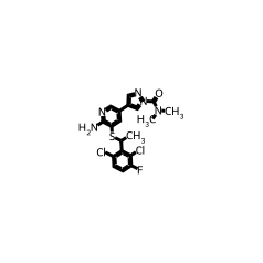 CC(Sc1cc(-c2cnn(C(=O)N(C)C)c2)cnc1N)c1c(Cl)ccc(F)c1Cl